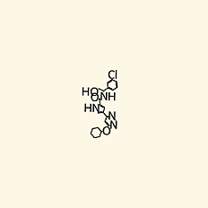 O=C(NC(CO)c1cccc(Cl)c1)c1cc(-c2cc(OC3CCCCC3)ncn2)c[nH]1